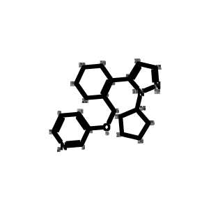 c1cncc(OCC2=C(c3ccnn3C3CCCC3)CCCC2)c1